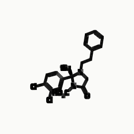 CC(C)(C)[C@@]1(c2ccc(Cl)c(Cl)c2)N(CCc2ccccc2)CC(=O)N1C(=O)O